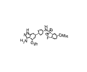 COc1ccc(F)c(S(=O)(=O)Nc2ccc(-c3cc(OC(C)C)c4c(N)n[nH]c4c3)cc2)c1